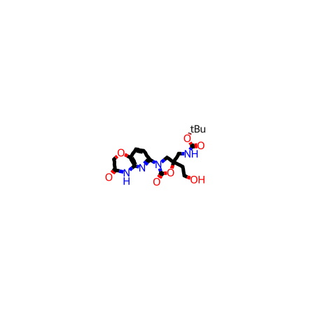 CC(C)(C)OC(=O)NCC1(CCO)CN(c2ccc3c(n2)NC(=O)CO3)C(=O)O1